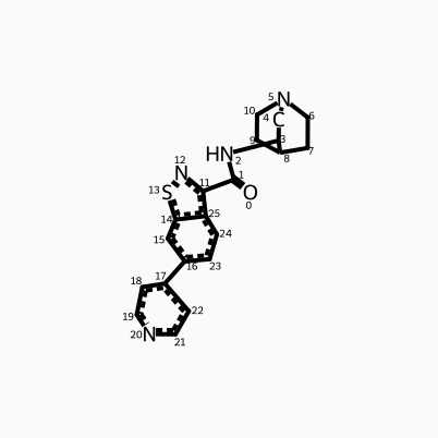 O=C(NC1CN2CCC1CC2)c1nsc2cc(-c3ccncc3)ccc12